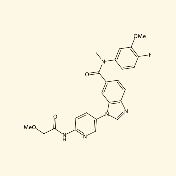 COCC(=O)Nc1ccc(-n2cnc3ccc(C(=O)N(C)c4ccc(F)c(OC)c4)cc32)cn1